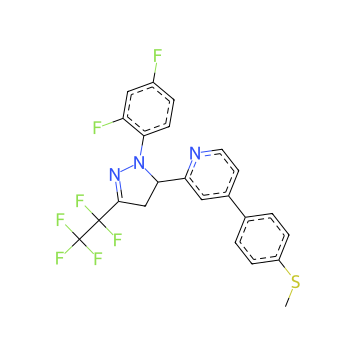 CSc1ccc(-c2ccnc(C3CC(C(F)(F)C(F)(F)F)=NN3c3ccc(F)cc3F)c2)cc1